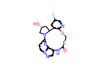 O=C1CCOc2ncc(F)cc2C2C[C@@H](O)CN2c2ccn3ncc(c3n2)N1